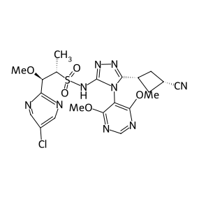 COc1ncnc(OC)c1-n1c(NS(=O)(=O)[C@@H](C)[C@H](OC)c2ncc(Cl)cn2)nnc1[C@H]1C[C@@H](C#N)C1